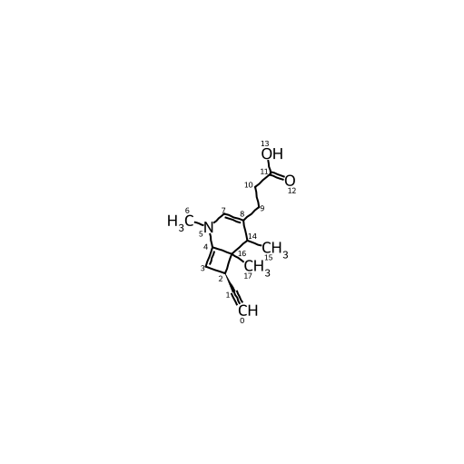 C#C[C@H]1C=C2N(C)C=C(CCC(=O)O)C(C)C21C